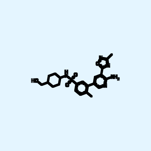 Cc1noc(-c2cc(-c3cc(S(=O)(=O)NC4CCC(CO)CC4)ccc3C)cnc2N)n1